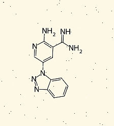 N=C(N)c1cc(-n2nnc3ccccc32)cnc1N